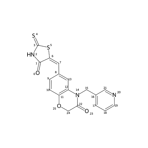 O=C1NC(=S)S/C1=C/c1ccc2c(c1)N(Cc1cccnc1)C(=O)CO2